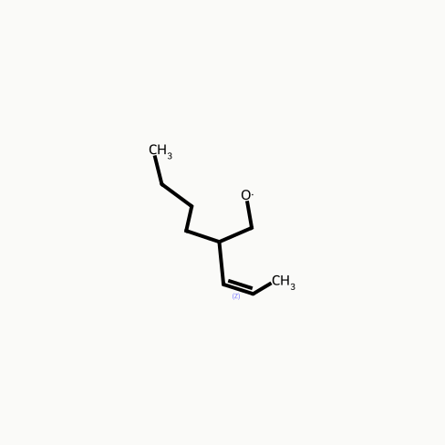 C/C=C\C(C[O])CCCC